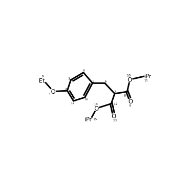 CCOc1ccc(CC(C(=O)OC(C)C)C(=O)OC(C)C)cc1